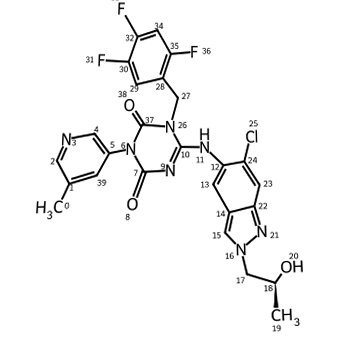 Cc1cncc(-n2c(=O)nc(Nc3cc4cn(C[C@H](C)O)nc4cc3Cl)n(Cc3cc(F)c(F)cc3F)c2=O)c1